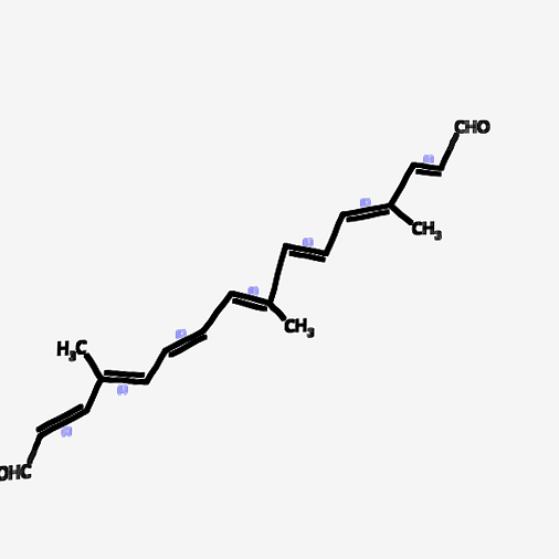 CC(/C=C/C=O)=C\C=C\C=C(C)\C=C\C=C(C)\C=C\C=O